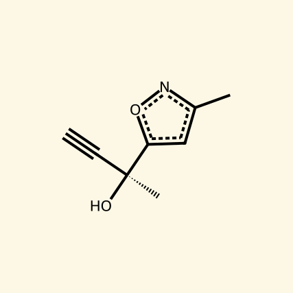 C#C[C@](C)(O)c1cc(C)no1